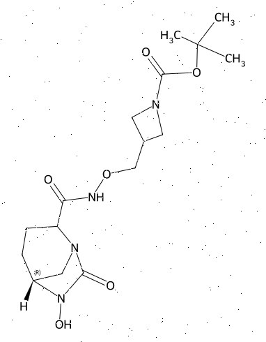 CC(C)(C)OC(=O)N1CC(CONC(=O)C2CC[C@@H]3CN2C(=O)N3O)C1